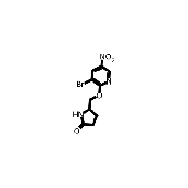 O=C1CCC(COc2ncc([N+](=O)[O-])cc2Br)N1